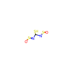 O=S=NC(S)N=S=O